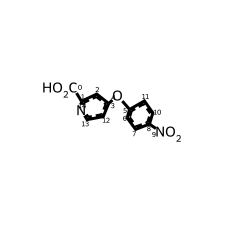 O=C(O)c1cc(Oc2ccc([N+](=O)[O-])cc2)ccn1